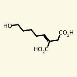 O=C(O)CC(=CCCCCO)C(=O)O